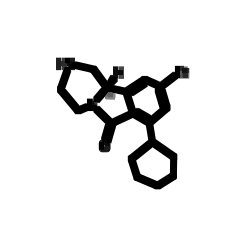 CCc1cc(C2CCCCC2)c2c(c1)[C@H]1CNCCN1C2=O